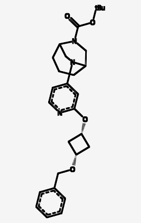 CC(C)(C)OC(=O)N1CC2CCCC1CN2c1ccnc(O[C@H]2C[C@@H](OCc3ccccc3)C2)c1